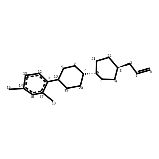 C=CC[C@H]1CC[C@H](C2CCC(c3ccc(C)cc3C)CC2)CC1